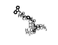 CC1(C)O[C@H]([C@@H](O)CNC(=O)COc2ccc(C[C@H](NC(=O)OCC3c4ccccc4-c4ccccc43)C(=O)O)cc2)[C@@H]([C@H]2COC(C)(C)O2)O1